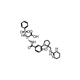 O=C(NC[C@H](NS(=O)(=O)c1ccccc1)C(=O)O)c1cccc(N2CCC[C@]2(O)CNC2=NCCCN2)c1